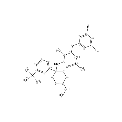 CNC1CCC(NCC(O)C(Cc2cc(F)cc(F)c2)NC(C)=O)(c2cccc(C(C)(C)C)c2)CC1